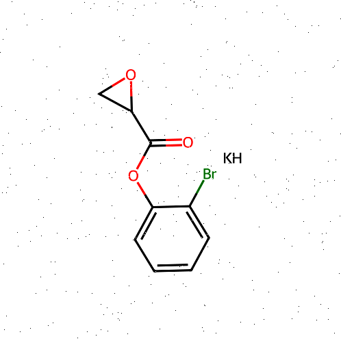 O=C(Oc1ccccc1Br)C1CO1.[KH]